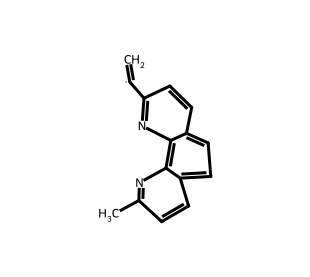 C=[C]c1ccc2ccc3ccc(C)nc3c2n1